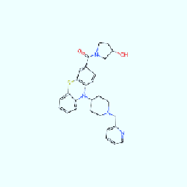 O=C(c1ccc2c(c1)Sc1ccccc1N2C1CCN(Cc2ccccn2)CC1)N1CCC(O)C1